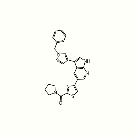 O=C(c1nc(-c2cnc3[nH]cc(-c4cnn(Cc5ccccc5)c4)c3c2)cs1)N1CCCC1